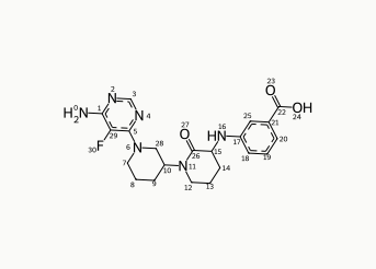 Nc1ncnc(N2CCCC(N3CCCC(Nc4cccc(C(=O)O)c4)C3=O)C2)c1F